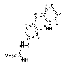 CSC(=N)NCc1ccc2c(c1)Nc1nccnc1S2